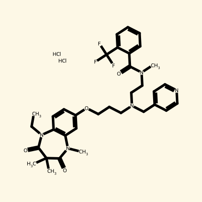 CCN1C(=O)C(C)(C)C(=O)N(C)c2cc(OCCCN(CCN(C)C(=O)c3ccccc3C(F)(F)F)Cc3ccncc3)ccc21.Cl.Cl